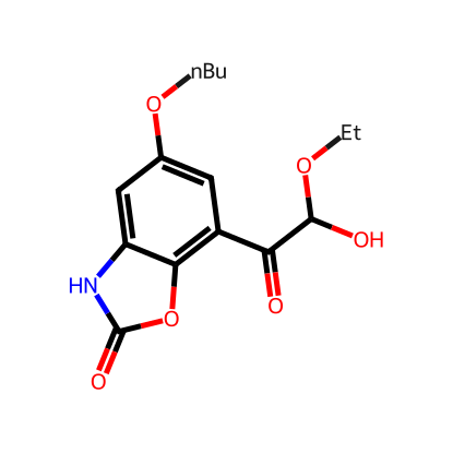 CCCCOc1cc(C(=O)C(O)OCC)c2oc(=O)[nH]c2c1